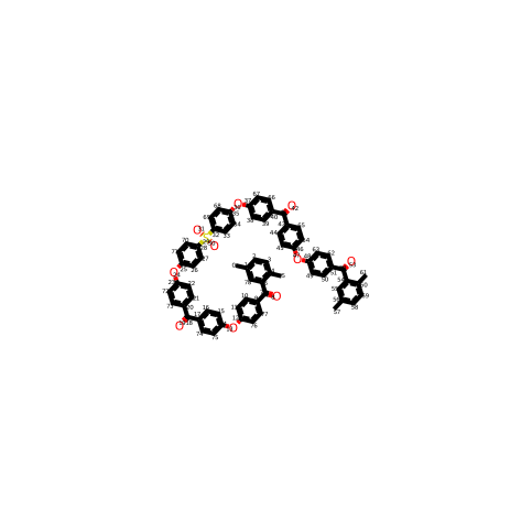 Cc1ccc(C)c(C(=O)c2ccc(Oc3ccc(C(=O)c4ccc(Oc5ccc(S(=O)(=O)c6ccc(Oc7ccc(C(=O)c8ccc(Oc9ccc(C(=O)c%10cc(C)ccc%10C)cc9)cc8)cc7)cc6)cc5)cc4)cc3)cc2)c1